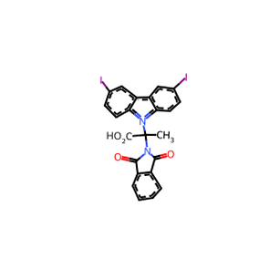 CC(C(=O)O)(N1C(=O)c2ccccc2C1=O)n1c2ccc(I)cc2c2cc(I)ccc21